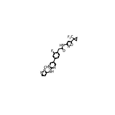 Cn1nccc1Nc1ncc(-c2ccc(CC(=O)Nc3cc(C4(C(F)(F)F)CC4)on3)c(F)c2)cn1